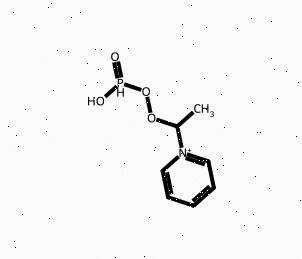 CC(OO[PH](=O)O)[n+]1ccccc1